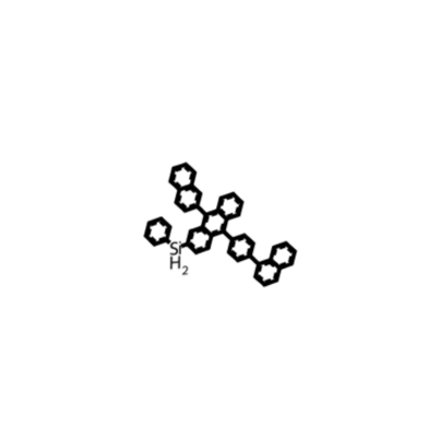 c1ccc([SiH2]c2ccc3c(-c4ccc(-c5cccc6ccccc56)cc4)c4ccccc4c(-c4ccc5ccccc5c4)c3c2)cc1